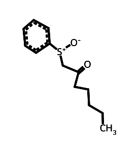 CCCCCC(=O)C[S+]([O-])c1ccccc1